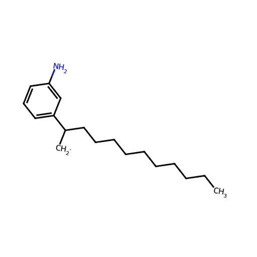 [CH2]C(CCCCCCCCCC)c1cccc(N)c1